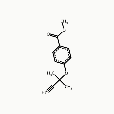 C#CC(C)(C)Oc1ccc(C(=O)OC)cc1